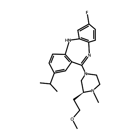 COCC[C@H]1CN(C2=Nc3ccc(F)cc3Nc3ccc(C(C)C)cc32)CCN1C